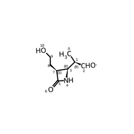 C[C@@H]([C]=O)[C@H]1NC(=O)[C@H]1CCO